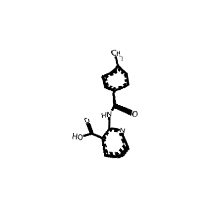 Cc1ccc(C(=O)Nc2ncccc2C(=O)O)cc1